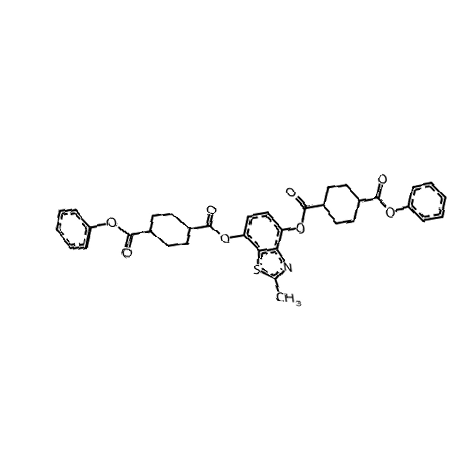 Cc1nc2c(OC(=O)C3CCC(C(=O)Oc4ccccc4)CC3)ccc(OC(=O)C3CCC(C(=O)Oc4ccccc4)CC3)c2s1